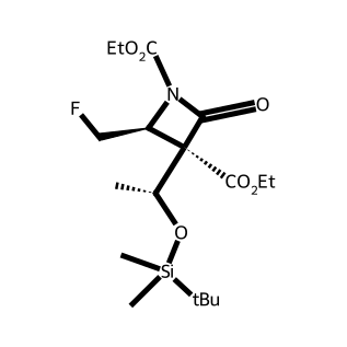 CCOC(=O)N1C(=O)[C@@](C(=O)OCC)([C@@H](C)O[Si](C)(C)C(C)(C)C)[C@H]1CF